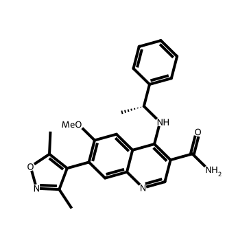 COc1cc2c(N[C@H](C)c3ccccc3)c(C(N)=O)cnc2cc1-c1c(C)noc1C